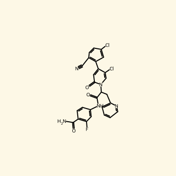 N#Cc1ccc(Cl)cc1-c1cc(=O)n(C(Cc2ccccn2)C(=O)Nc2ccc(C(N)=O)c(F)c2)cc1Cl